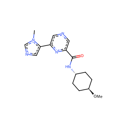 CO[C@H]1CC[C@H](NC(=O)c2cncc(-c3cncn3C)n2)CC1